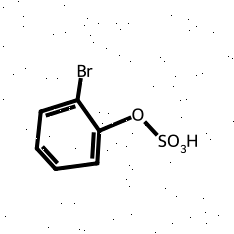 O=S(=O)(O)Oc1ccccc1Br